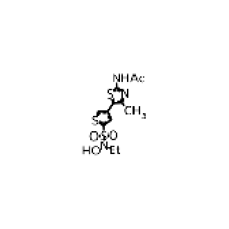 CCN(O)S(=O)(=O)c1cc(-c2sc(NC(C)=O)nc2C)cs1